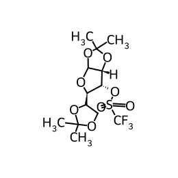 CC1(C)OCC([C@H]2OC3OC(C)(C)O[C@@H]3[C@@H]2OS(=O)(=O)C(F)(F)F)O1